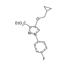 CCOC(=O)c1nn(-c2ccc(F)cc2)cc1OCC1CC1